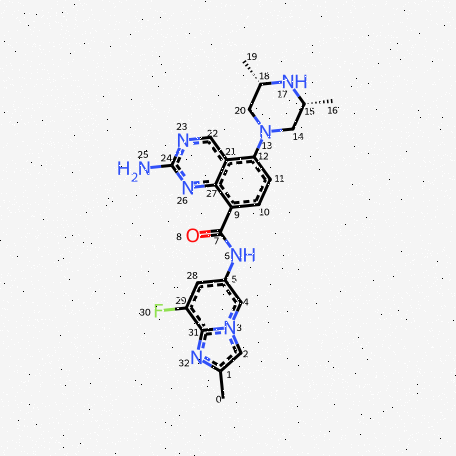 Cc1cn2cc(NC(=O)c3ccc(N4C[C@@H](C)N[C@@H](C)C4)c4cnc(N)nc34)cc(F)c2n1